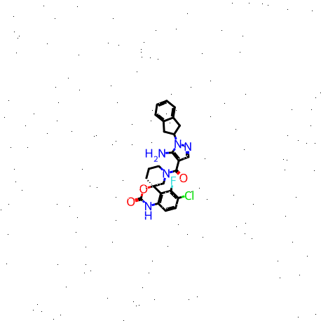 Nc1c(C(=O)N2CCC[C@@]3(C2)OC(=O)Nc2ccc(Cl)c(F)c23)cnn1C1Cc2ccccc2C1